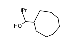 CC(C)C(O)C1CCCCCCC1